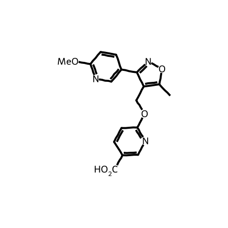 COc1ccc(-c2noc(C)c2COc2ccc(C(=O)O)cn2)cn1